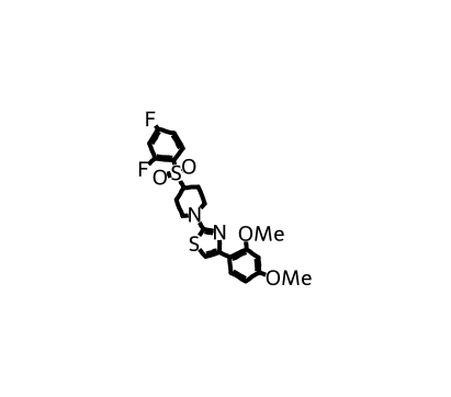 COc1ccc(-c2csc(N3CCC(S(=O)(=O)c4ccc(F)cc4F)CC3)n2)c(OC)c1